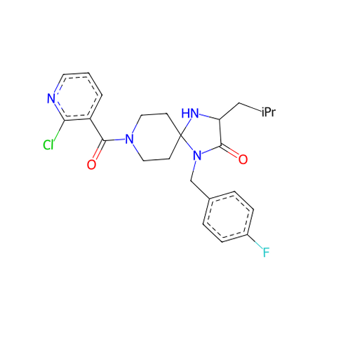 CC(C)CC1NC2(CCN(C(=O)c3cccnc3Cl)CC2)N(Cc2ccc(F)cc2)C1=O